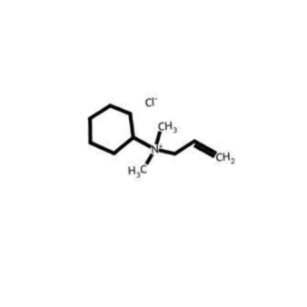 C=CC[N+](C)(C)C1CCCCC1.[Cl-]